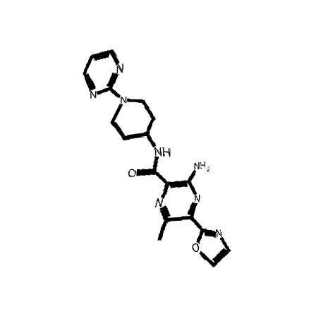 Cc1nc(C(=O)NC2CCN(c3ncccn3)CC2)c(N)nc1-c1ncco1